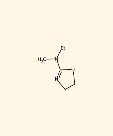 CCN(C)C1=NCCO1